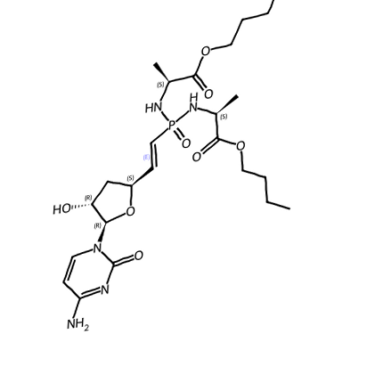 CCCCOC(=O)[C@H](C)NP(=O)(/C=C/[C@@H]1C[C@@H](O)[C@H](n2ccc(N)nc2=O)O1)N[C@@H](C)C(=O)OCCCC